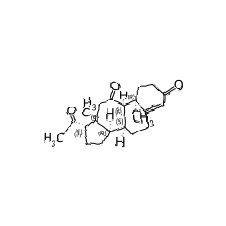 CC(=O)[C@H]1CC[C@@H]2[C@@H]3CCC4=CC(=O)CC[C@]4(C)[C@@H]3C(=O)C[C@]12C